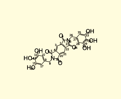 O=c1c2cc3c(=O)n(Cc4cc(O)c(O)c(O)c4)c(=O)c3cc2c(=O)n1Cc1cc(O)c(O)c(O)c1